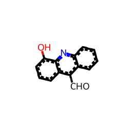 O=Cc1c2ccccc2nc2c(O)cccc12